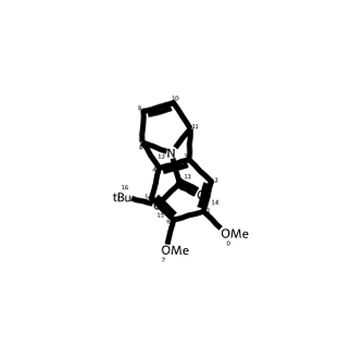 COc1cc2c(cc1OC)C1C=CC2N1C(=O)OC(C)(C)C